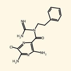 N=C(N)N(CCc1ccccc1)C(=O)c1nc(Cl)c(N)nc1N